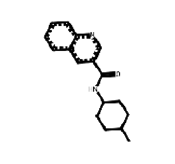 CC1CCC(NC(=O)c2cnc3ccccc3c2)CC1